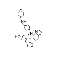 O=C(O)N1Cc2ccccc2CC1CN(Cc1ccc(CNCC2CCOCC2)cc1)C1CCCc2cccnc21